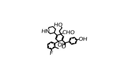 Cc1c(F)cccc1C1(O)C=C(C2CCCNC2)C(C=O)(CCO)C=C1C(=O)c1ccc(O)cc1